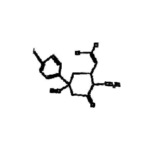 CCOC(=O)C1C(=O)CC(OC)(c2ccc(I)cc2)CC1C=C(Cl)Cl